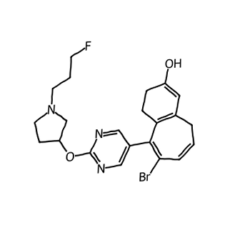 OC1=CC2=C(CC1)C(c1cnc(OC3CCN(CCCF)C3)nc1)=C(Br)C=CC2